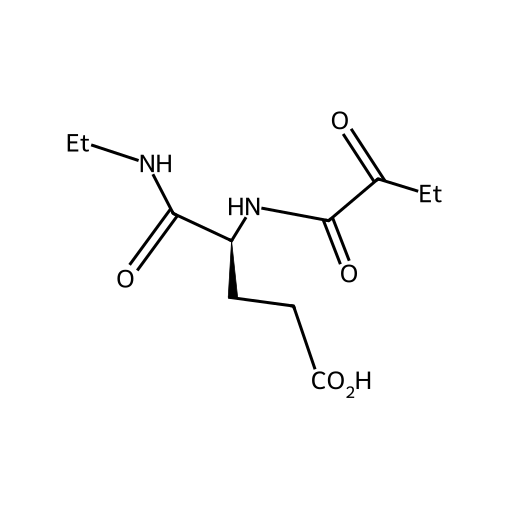 CCNC(=O)[C@H](CCC(=O)O)NC(=O)C(=O)CC